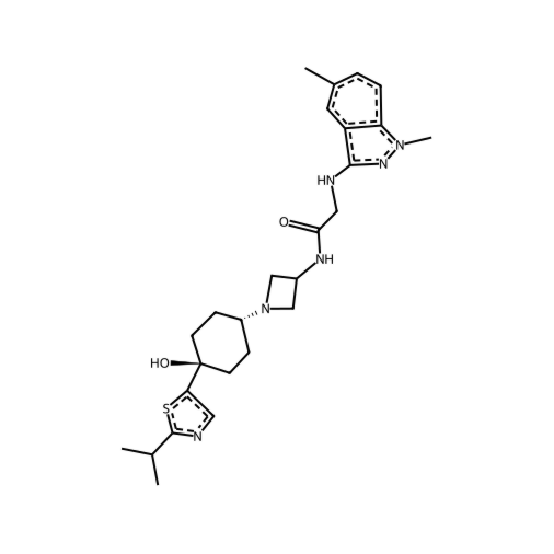 Cc1ccc2c(c1)c(NCC(=O)NC1CN([C@H]3CC[C@@](O)(c4cnc(C(C)C)s4)CC3)C1)nn2C